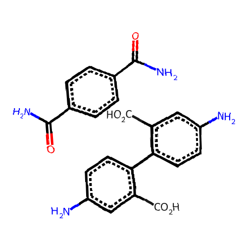 NC(=O)c1ccc(C(N)=O)cc1.Nc1ccc(-c2ccc(N)cc2C(=O)O)c(C(=O)O)c1